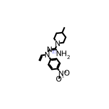 C=CN(/N=C(\N)N1CCC(C)CC1)c1ccc([N+](=O)[O-])cc1